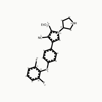 CCOC(=O)c1c(C#N)c(-c2ccc(Oc3c(F)cccc3F)cc2)cn1C1CCNC1